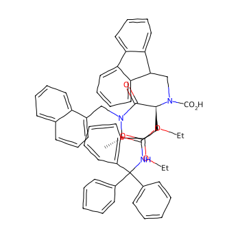 CCOC(OCC)[C@H](C)N(Cc1cccc2ccccc12)C(=O)[C@H](CC(=O)NC(c1ccccc1)(c1ccccc1)c1ccccc1)N(CC1c2ccccc2-c2ccccc21)C(=O)O